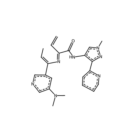 C=C/C(=N\C(=C/C)c1cncc(N(C)C)c1)C(=O)Nc1cn(C)nc1-c1ccccn1